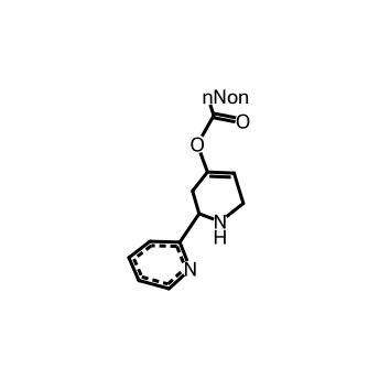 CCCCCCCCCC(=O)OC1=CCNC(c2ccccn2)C1